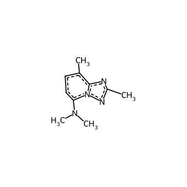 Cc1nc2c(C)ccc(N(C)C)n2n1